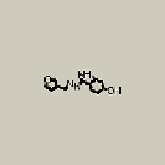 NC(=NN=Cc1ccoc1)c1ccc(O)cc1